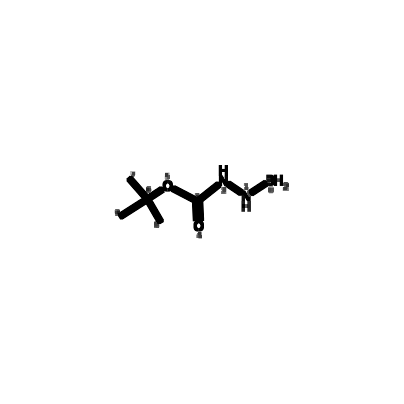 BNNC(=O)OC(C)(C)C